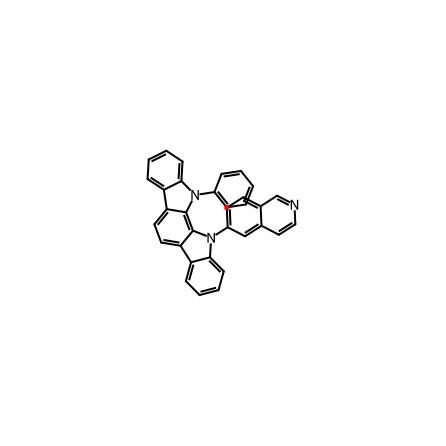 c1ccc(-n2c3ccccc3c3ccc4c5ccccc5n(-c5ccc6cnccc6c5)c4c32)cc1